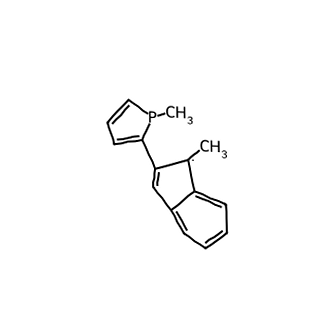 C[C]1C(c2cccp2C)=Cc2ccccc21